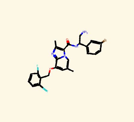 Cc1cc(OCc2c(F)cccc2F)c2nc(C)c(C(=O)NC(CN)c3cccc(Br)c3)n2c1